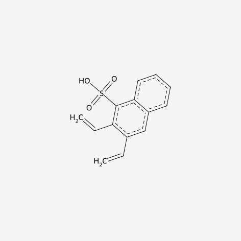 C=Cc1cc2ccccc2c(S(=O)(=O)O)c1C=C